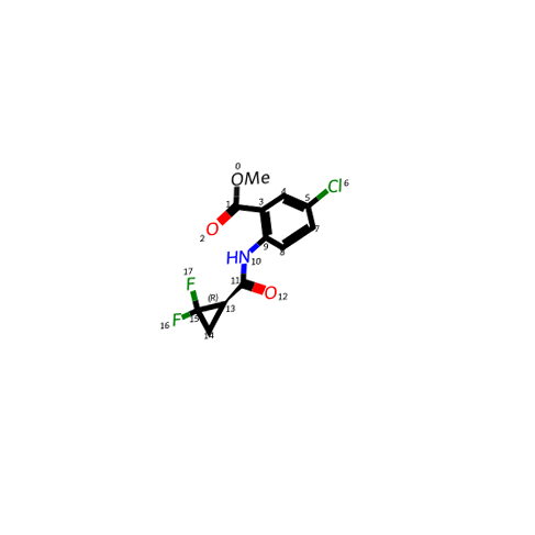 COC(=O)c1cc(Cl)ccc1NC(=O)[C@H]1CC1(F)F